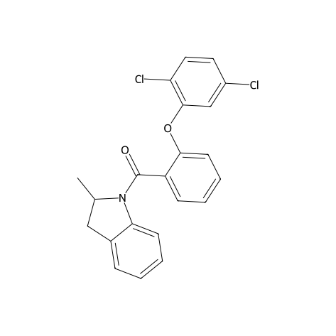 CC1Cc2ccccc2N1C(=O)c1ccccc1Oc1cc(Cl)ccc1Cl